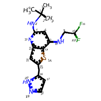 CC(C)(C)Nc1cc(NCC(F)F)c2sc(-c3ccn[nH]3)cc2n1